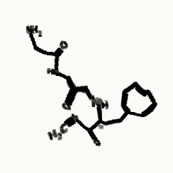 C=NC(=O)[C@H](Cc1ccccc1)NC(=O)CNC(=O)CN